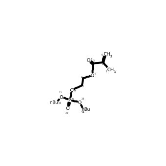 C=C(C)C(=O)OCCOP(=O)(OCCCC)OCCCC